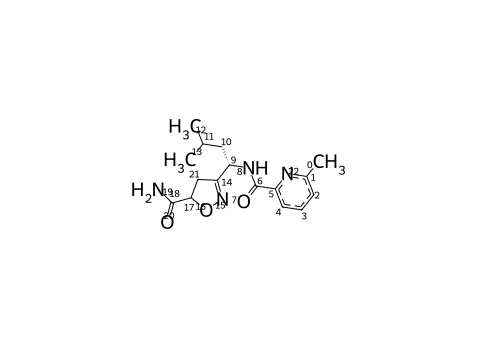 Cc1cccc(C(=O)N[C@@H](CC(C)C)C2=NOC(C(N)=O)C2)n1